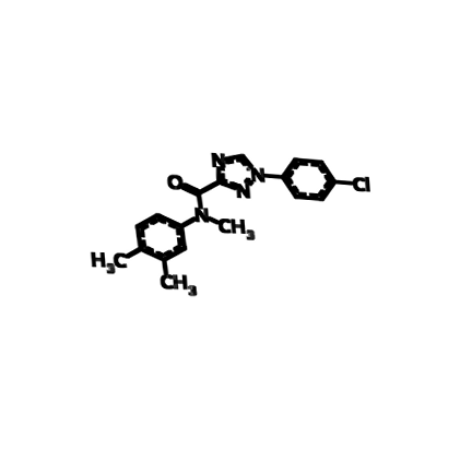 Cc1ccc(N(C)C(=O)c2ncn(-c3ccc(Cl)cc3)n2)cc1C